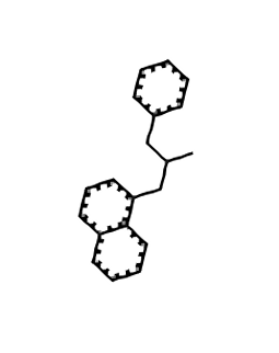 CC([CH]c1cccc2ccccc12)Cc1ccccc1